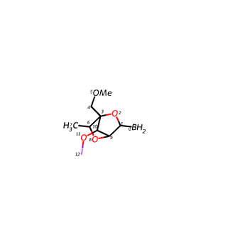 BC1OC2(COC)C(C)OC1C2OI